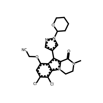 CN1CCn2c(c(-c3cnn(C4CCCCO4)c3)c3c(OCC#N)cc(Cl)c(Cl)c32)C1=O